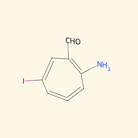 NC1=C(C=O)C=C(I)C=C=C1